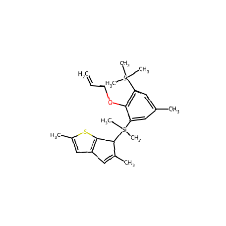 C=CCOc1c([Si](C)(C)C)cc(C)cc1[Si](C)(C)C1C(C)=Cc2cc(C)sc21